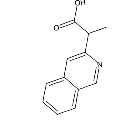 CC(C(=O)O)c1cc2ccccc2cn1